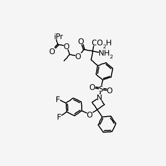 CC(OC(=O)C(C)C)OC(=O)C(N)(Cc1cccc(S(=O)(=O)N2CC(Oc3ccc(F)c(F)c3)(c3ccccc3)C2)c1)C(=O)O